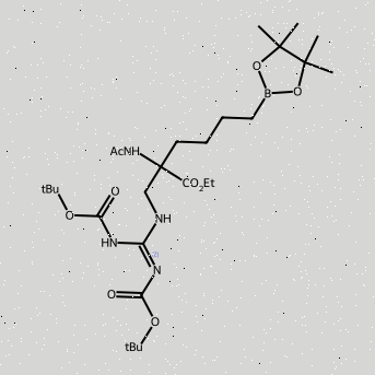 CCOC(=O)C(CCCCB1OC(C)(C)C(C)(C)O1)(CN/C(=N/C(=O)OC(C)(C)C)NC(=O)OC(C)(C)C)NC(C)=O